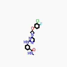 CNC(=O)c1cccc(Nc2nccc(N3CC(Oc4ccc(F)c(Cl)c4)C3)n2)c1